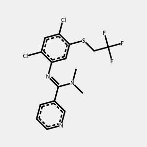 CN(C)/C(=N\c1cc(SCC(F)(F)F)c(Cl)cc1Cl)c1cccnc1